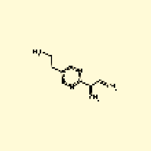 C=CC(=C)c1ncc(CCC)cn1